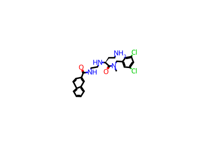 CN(Cc1cc(Cl)cc(Cl)c1)C(=O)[C@H](CCN)NCCNC(=O)c1ccc2ccccc2c1